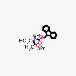 CCCO[C@H](C)[C@@H](C(=O)O)N(C)C(=O)OCC1c2ccccc2-c2ccccc21